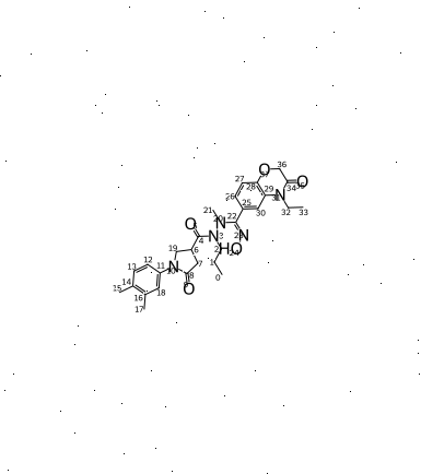 CCCN(C(=O)C1CC(=O)N(c2ccc(C)c(C)c2)C1)N(C)/C(=N\O)c1ccc2c(c1)N(CC)C(=O)CO2